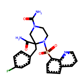 NC(=O)N1CCN(S(=O)(=O)c2cccc3cccnc23)C(Cc2ccc(F)cc2)(C(N)=O)C1